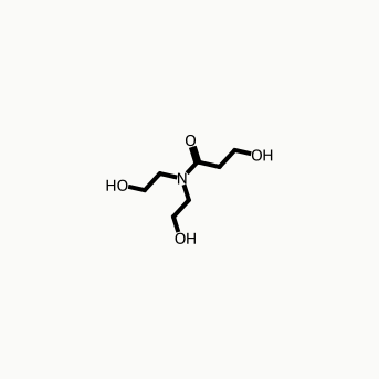 O=C(CCO)N(CCO)CCO